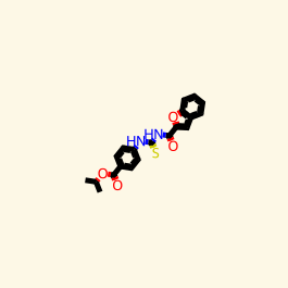 CC(C)OC(=O)c1ccc(NC(=S)NC(=O)c2cc3ccccc3o2)cc1